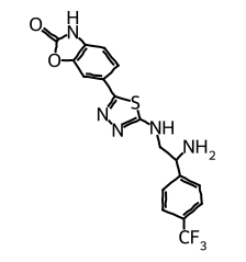 NC(CNc1nnc(-c2ccc3[nH]c(=O)oc3c2)s1)c1ccc(C(F)(F)F)cc1